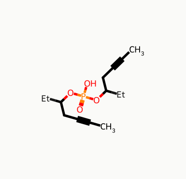 CC#CCC(CC)OP(=O)(O)OC(CC)CC#CC